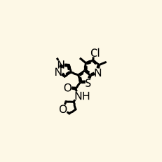 Cc1nc2sc(C(=O)NC3CCOC3)c(-c3cnn(C)c3)c2c(C)c1Cl